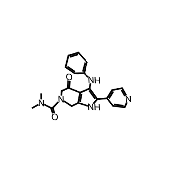 CN(C)C(=O)N1CC(=O)c2c([nH]c(-c3ccncc3)c2Nc2ccccc2)C1